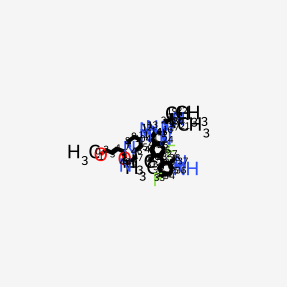 COC/C=C/C(=O)N1CC[C@H](n2nnc3c(N4CC(C)(N(C)C)C4)nc4c(F)c(-c5c(C)c(F)cc6[nH]ncc56)c(C)cc4c32)C[C@H]1CC#N